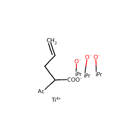 C=CCC(C(C)=O)C(=O)[O-].CC(C)[O-].CC(C)[O-].CC(C)[O-].[Ti+4]